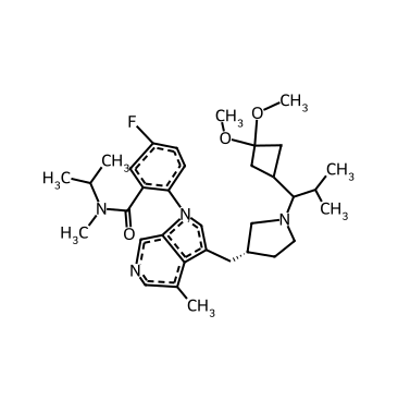 COC1(OC)CC(C(C(C)C)N2CC[C@H](Cc3cn(-c4ccc(F)cc4C(=O)N(C)C(C)C)c4cncc(C)c34)C2)C1